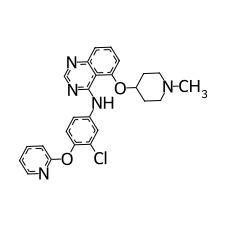 CN1CCC(Oc2cccc3ncnc(Nc4ccc(Oc5ccccn5)c(Cl)c4)c23)CC1